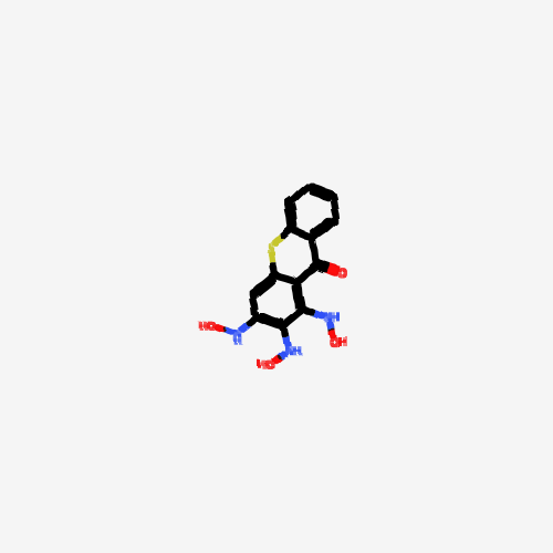 O=c1c2ccccc2sc2cc(NO)c(NO)c(NO)c12